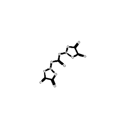 O=C(OB1OC(=O)C(=O)O1)OB1OC(=O)C(=O)O1